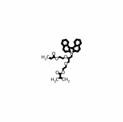 C=CC(=O)OCCOC(COCCOC(=O)C(=C)C)Cn1c2ccc3ccccc3c2c2c3ccccc3ccc21